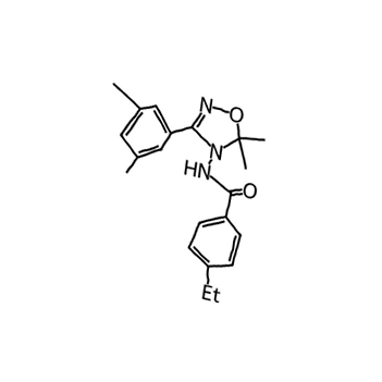 CCc1ccc(C(=O)NN2C(c3cc(C)cc(C)c3)=NOC2(C)C)cc1